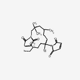 CCC(CCC(C)CC(C)(C)CN1C(=O)C=CC1=O)(CC[C@H](C)CI)N1C(=O)C=CC1=O